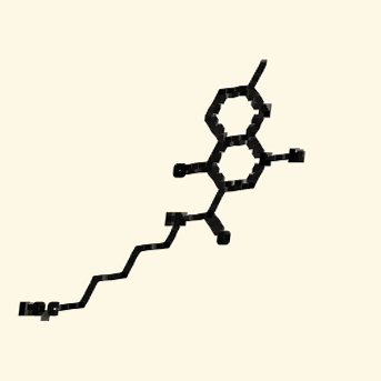 CCOC(=O)CCCCCNC(=O)c1cn(CC)c2nc(C)ccc2c1=O